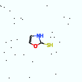 S[C]1NC=CO1